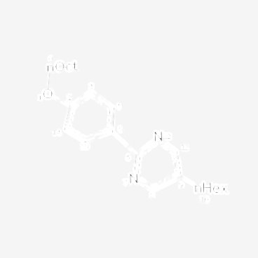 CCCCCCCCOc1ccc(-c2ncc(CCCCCC)cn2)cc1